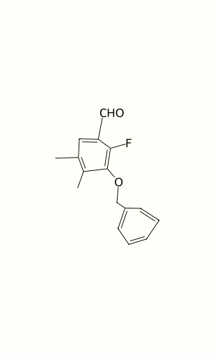 Cc1cc(C=O)c(F)c(OCc2ccccc2)c1C